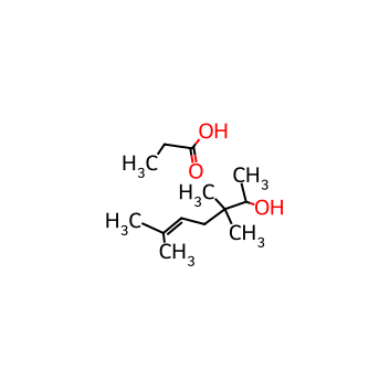 CC(C)=CCC(C)(C)C(C)O.CCC(=O)O